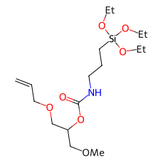 C=CCOCC(COC)OC(=O)NCCC[Si](OCC)(OCC)OCC